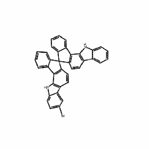 Brc1ccc2[nH]c3c4c(ccc3c2c1)C1(c2ccccc2-c2c1ccc1c2[nH]c2ccccc21)c1ccccc1-4